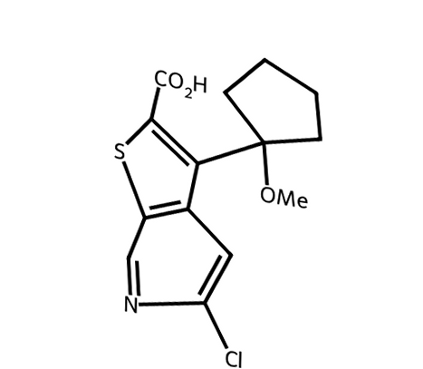 COC1(c2c(C(=O)O)sc3cnc(Cl)cc23)CCCC1